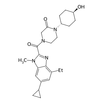 CCc1cc(C2CC2)cc2c1nc(C(=O)N1CCN([C@H]3CC[C@H](O)CC3)C(=O)C1)n2C